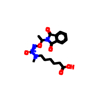 CC(O/N=[N+](/[O-])N(C)CCCCCC(=O)O)N1C(=O)c2ccccc2C1=O